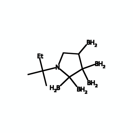 BC1CN(C(C)(C)CC)C(B)(B)C1(B)B